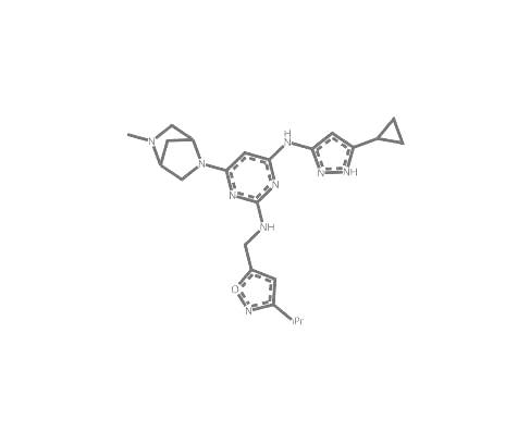 CC(C)c1cc(CNc2nc(Nc3cc(C4CC4)[nH]n3)cc(N3CC4CC3CN4C)n2)on1